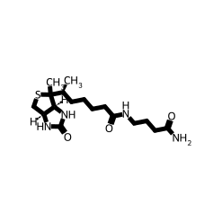 C[C@@H](CCCCC(=O)NCCCC(N)=O)C1(C)SC[C@@H]2NC(=O)N[C@@H]21